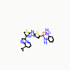 Nc1ccccc1NC(=O)c1ccc(Nc2nc(-c3cnc4c(C5CC5)cccn34)cs2)s1